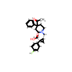 CC(=O)C1(c2ccccc2)CCN(C[C@@H]2C[C@@]2(C(=O)O)c2ccc(F)cc2)CC1